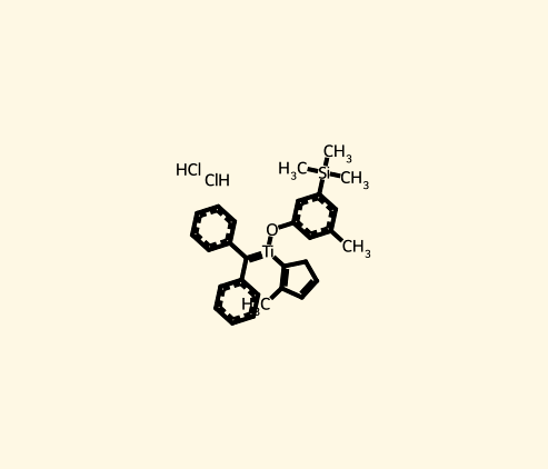 CC1=[C]([Ti]([O]c2cc(C)cc([Si](C)(C)C)c2)=[C](c2ccccc2)c2ccccc2)CC=C1.Cl.Cl